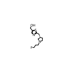 OCc1cnc(C[C@H]2CCN(CCCF)C2)s1